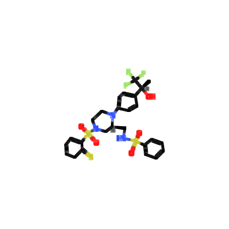 C[C@@](O)(c1ccc(N2CCN(S(=O)(=O)C3=CC=CCC3=S)C[C@@H]2CNS(=O)(=O)c2ccccc2)cc1)C(F)(F)F